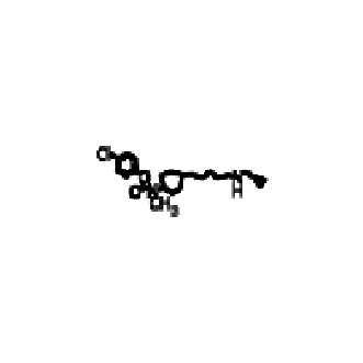 CN(C(=O)Oc1ccc(Cl)cc1)C1CCC(CCCCCNCC2CC2)CC1